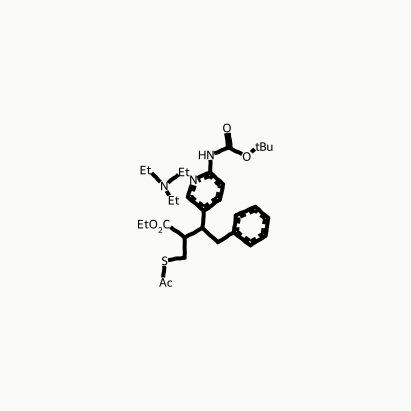 CCN(CC)CC.CCOC(=O)C(CSC(C)=O)C(Cc1ccccc1)c1ccc(NC(=O)OC(C)(C)C)nc1